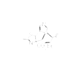 CCOC(=O)C1(c2ccc(F)cc2)N=C(C)SC1c1cnco1